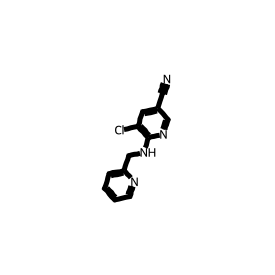 N#Cc1cnc(NCc2ccccn2)c(Cl)c1